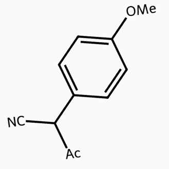 COc1ccc(C(C#N)C(C)=O)cc1